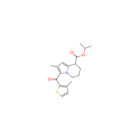 Cc1ccsc1C(=O)c1c(C)cc2n1CCCC2C(=O)OC(C)C